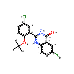 CC(C)(C)Oc1ccc(Cl)cc1-c1nc2ccc(Cl)cc2c(=O)[nH]1